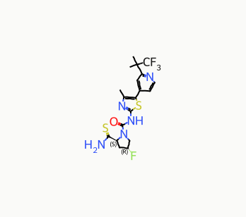 Cc1nc(NC(=O)N2C[C@H](F)C[C@H]2C(N)=S)sc1-c1ccnc(C(C)(C)C(F)(F)F)c1